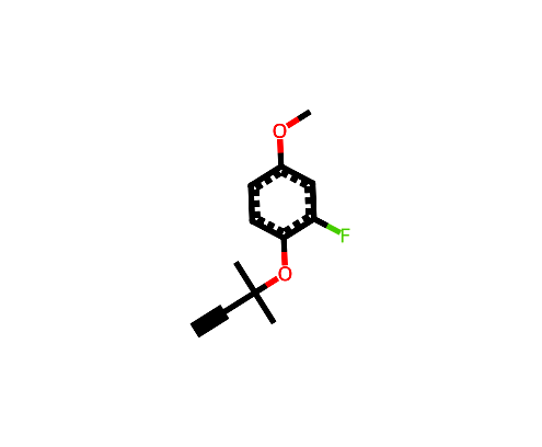 C#CC(C)(C)Oc1ccc(OC)cc1F